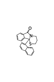 O=C1c2ccccc2C2(c3cccc4ccccc34)SCCCN12